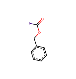 O=C(I)OCc1ccccc1